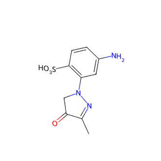 CC1=NN(c2cc(N)ccc2S(=O)(=O)O)CC1=O